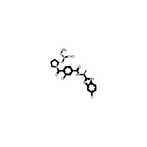 C[C@H](NC(=O)c1ccc(C(=O)N2CCC[C@@H]2CN(C=O)OC(C)(C)C)c(Cl)c1)c1nc2cc(Cl)ccc2[nH]1